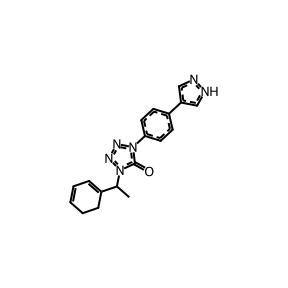 CC(C1=CC=CCC1)n1nnn(-c2ccc(-c3cn[nH]c3)cc2)c1=O